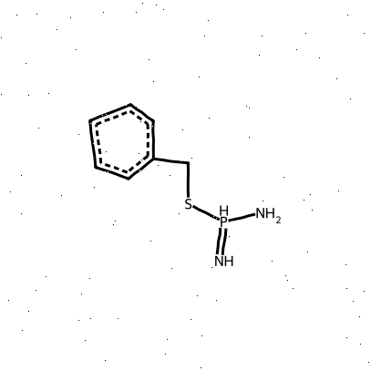 N=[PH](N)SCc1ccccc1